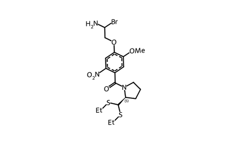 CCSC(SCC)[C@@H]1CCCN1C(=O)c1cc(OC)c(OCC(N)Br)cc1[N+](=O)[O-]